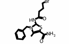 CC1=C(C(N)=O)SC(NC(=O)CCCBr)N1Cc1ccccc1